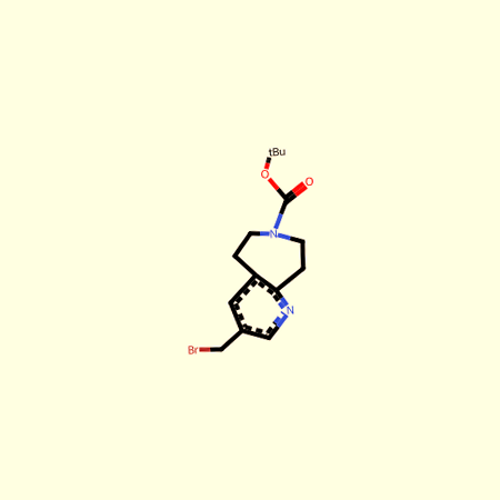 CC(C)(C)OC(=O)N1CCc2cc(CBr)cnc2CC1